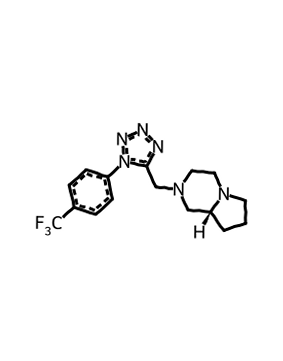 FC(F)(F)c1ccc(-n2nnnc2CN2CCN3CCC[C@@H]3C2)cc1